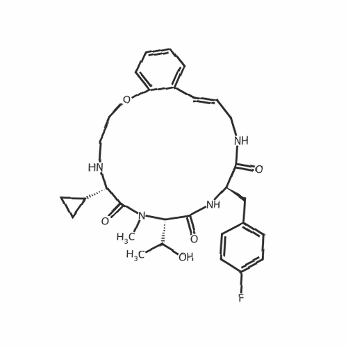 CC(O)[C@H]1C(=O)N[C@H](Cc2ccc(F)cc2)C(=O)NC/C=C/c2ccccc2OCCN[C@@H](C2CC2)C(=O)N1C